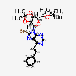 CC1(C)O[C@@H]2[C@H](O1)[C@@H](CO[Si](C)(C)C(C)(C)C)O[C@H]2n1c(Br)nc2c(C=Cc3ccccc3)ncnc21